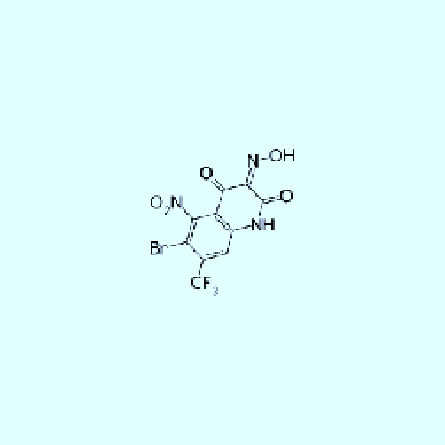 O=C1Nc2cc(C(F)(F)F)c(Br)c([N+](=O)[O-])c2C(=O)C1=NO